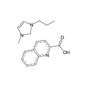 CCCN1C=CN(C)C1.O=C(O)c1ccc2ccccc2n1